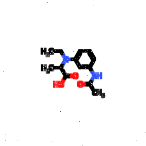 CCN(c1cccc(NC(C)=O)c1)C(C)C(=O)O